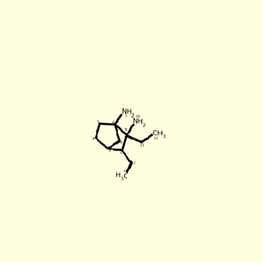 CCC1C2CCC(N)(C2)C1(N)CC